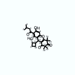 CC(C)CC(=O)c1c(O)cc2c(c1O)C(C1CCC1)C1=C(O2)C(C)(C)C(=O)C(C)(C)C1=O